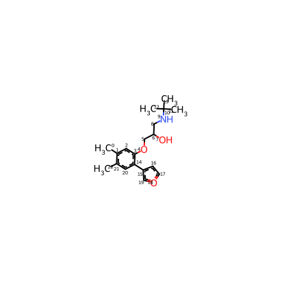 Cc1cc(OCC(O)CNC(C)(C)C)c(-c2ccoc2)cc1C